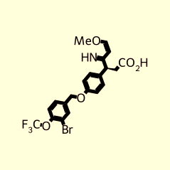 CO/C=C\C(=N)[C@@H](CC(=O)O)c1ccc(OCc2ccc(OC(F)(F)F)c(Br)c2)cc1